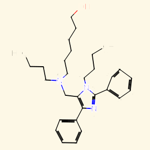 CCCCN(CCCCCCO)Cc1c(-c2ccccc2)nc(-c2ccccc2)n1CCCC